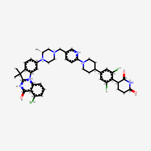 C[C@@H]1CN(Cc2ccc(N3CCC(c4cc(F)c(C5CCC(=O)NC5=O)c(F)c4)CC3)nc2)CCN1c1ccc2c(c1)-n1c(nc(=O)c3c(Br)cccc31)C2(C)C